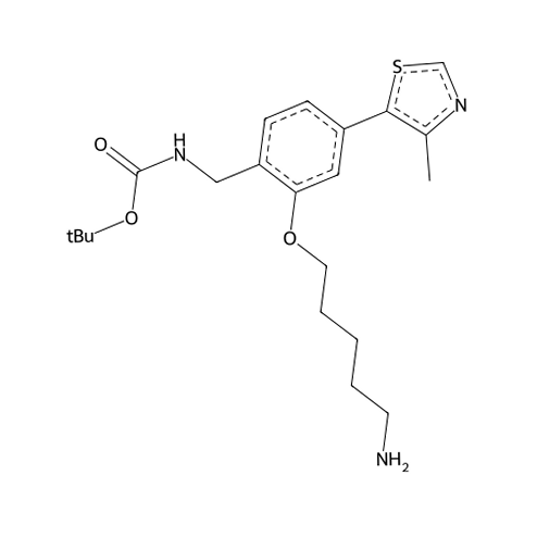 Cc1ncsc1-c1ccc(CNC(=O)OC(C)(C)C)c(OCCCCCN)c1